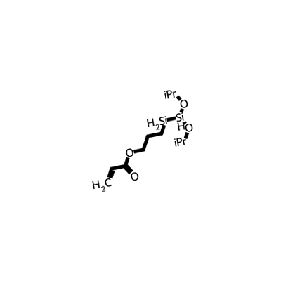 C=CC(=O)OCCC[SiH2][SiH](OC(C)C)OC(C)C